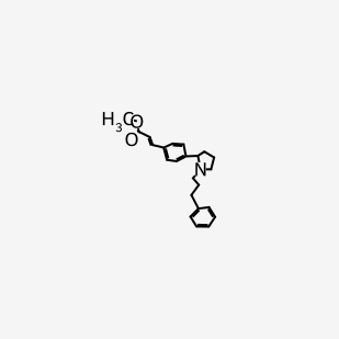 COC(=O)C=Cc1ccc(C2CCCN2CCCc2ccccc2)cc1